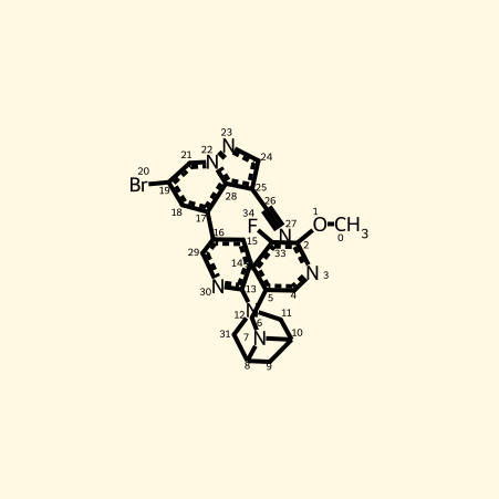 COc1ncc(CN2C3CC2CN(c2ccc(-c4cc(Br)cn5ncc(C#N)c45)cn2)C3)cc1F